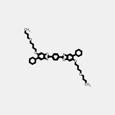 CCCCOCCCCOc1cc2oc(-c3ccc(-c4nc5cc(C6CCCCC6)c(OCCCCOCCCC)cc5o4)cc3)nc2cc1C1CCCCC1